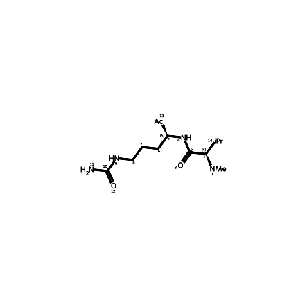 CN[C@@H](C(=O)N[C@@H](CCCNC(N)=O)C(C)=O)C(C)C